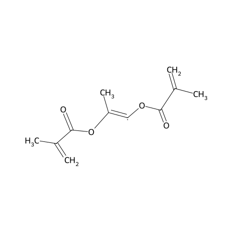 C=C(C)C(=O)O/[C]=C(\C)OC(=O)C(=C)C